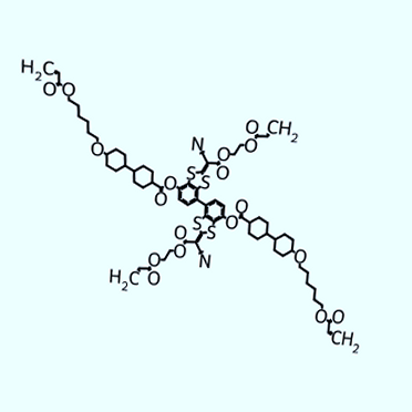 C=CC(=O)OCCCCCCOC1CCC(C2CCC(C(=O)Oc3ccc(-c4ccc(OC(=O)C5CCC(C6CCC(OCCCCCCOC(=O)C=C)CC6)CC5)c5c4S/C(=C(/C#N)C(=O)OCCOC(=O)C=C)S5)c4c3S/C(=C(\C#N)C(=O)OCCOC(=O)C=C)S4)CC2)CC1